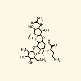 N=C(N)NC1C(O)[C@@H](CO)OC(OC2C(F)[C@H](O[C@H]3OC(CN)[C@@H](O)C(O)C3N)C(N)C[C@H]2NC(=O)[C@@H](O)CCN)[C@@H]1O